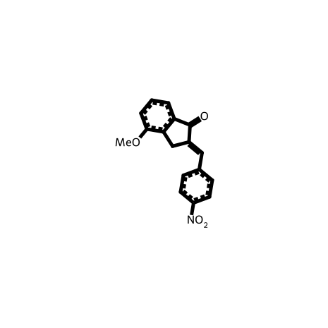 COc1cccc2c1CC(=Cc1ccc([N+](=O)[O-])cc1)C2=O